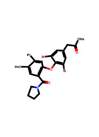 COC(=O)Cc1cc(Br)c(Oc2cc(C(C)C)c(OC)cc2C(=O)N2CCCC2)c(Br)c1